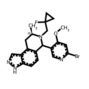 COc1cc(Br)ncc1C1c2ccc3[nH]ncc3c2C[C@@H](C)N1CC1(F)CC1